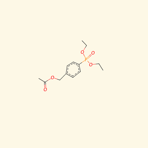 CCOP(=O)(OCC)c1ccc(COC(C)=O)cc1